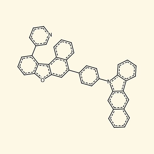 c1cncc(-c2cccc3oc4cc(-c5ccc(-n6c7ccccc7c7cc8ccccc8cc76)cc5)c5ccccc5c4c23)c1